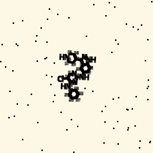 Clc1cnc(Nc2ccc3[nH]nc(C4=CCNCC4)c3c2)nc1Nc1[c]cccc1